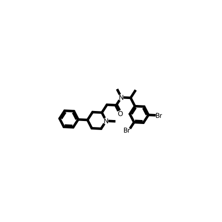 CC(c1cc(Br)cc(Br)c1)N(C)C(=O)CC1CC(c2ccccc2)CCN1C